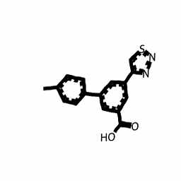 Cc1ccc(-c2cc(C(=O)O)cc(-c3csnn3)c2)cc1